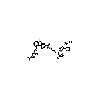 CC(C)NC[C@H](O)COc1cccc2[nH]c3cc(C(=O)NCCCC[C@H](N[C@@H](C)C(=O)N4CCC[C@H]4C(=O)O)C(=O)O)ccc3c12